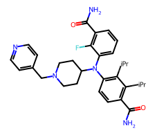 CC(C)c1c(C(N)=O)ccc(N(c2cccc(C(N)=O)c2F)C2CCN(Cc3ccncc3)CC2)c1C(C)C